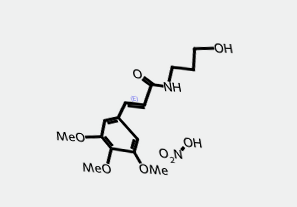 COc1cc(/C=C/C(=O)NCCCO)cc(OC)c1OC.O=[N+]([O-])O